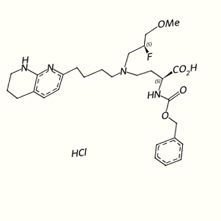 COC[C@@H](F)CN(CCCCc1ccc2c(n1)NCCC2)CC[C@H](NC(=O)OCc1ccccc1)C(=O)O.Cl